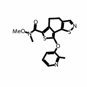 CON(C)C(=O)c1sc(Oc2cccnc2C)c2c1CCc1cnsc1-2